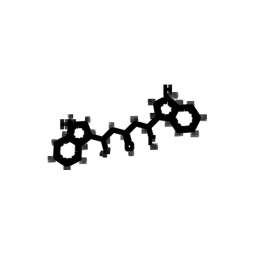 O=C(CC(F)c1c[nH]c2ccccc12)CC(F)c1c[nH]c2ccccc12